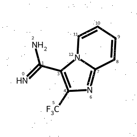 N=C(N)c1c(C(F)(F)F)nc2ccccn12